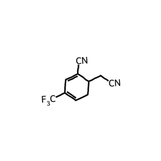 N#CCC1CC=C(C(F)(F)F)C=C1C#N